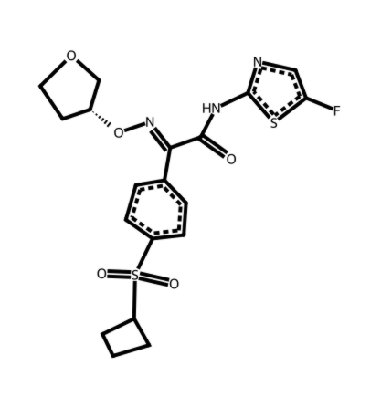 O=C(Nc1ncc(F)s1)/C(=N/O[C@@H]1CCOC1)c1ccc(S(=O)(=O)C2CCC2)cc1